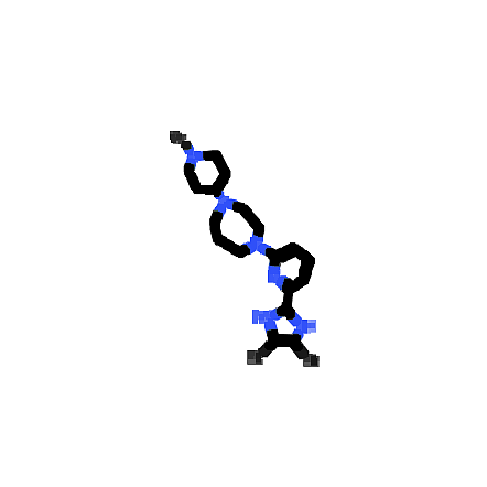 CCC1=C(CC)NC(c2cccc(N3CCCN(C4CCN(C(C)C)CC4)CC3)n2)N1